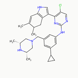 CC1=Cc2[nH]cc(-c3nc(Nc4cc(CN5C[C@@H](C)N[C@@H](C)C5)cc(C5CC5)c4)ncc3Cl)c2CC1C